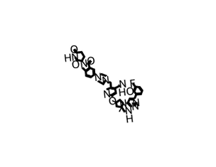 C[C@]12CNc3nnc(-c4cccc(F)c4O)cc3N1C[C@H](Oc1cc(C#N)c(CN3CCN(c4ccc5c(c4)C(=O)N([C@H]4CCC(=O)NC4=O)C5)CC3)cn1)C2